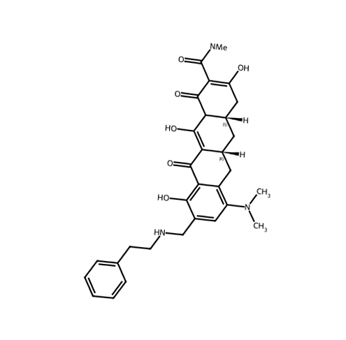 CNC(=O)C1=C(O)C[C@@H]2C[C@@H]3Cc4c(N(C)C)cc(CNCCc5ccccc5)c(O)c4C(=O)C3=C(O)C2C1=O